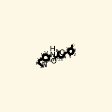 Cc1cccc(-c2ccc(C(=O)Nc3ccc4cccnc4c3)cc2)c1